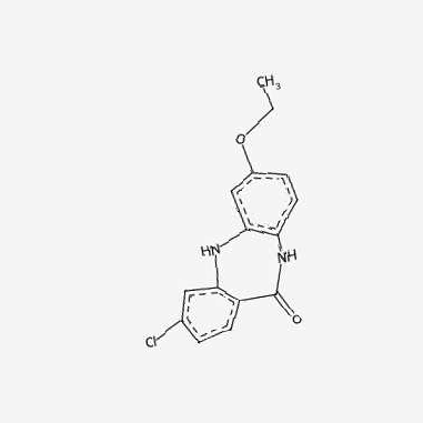 CCOc1ccc2c(c1)Nc1cc(Cl)ccc1C(=O)N2